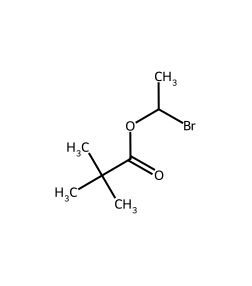 CC(Br)OC(=O)C(C)(C)C